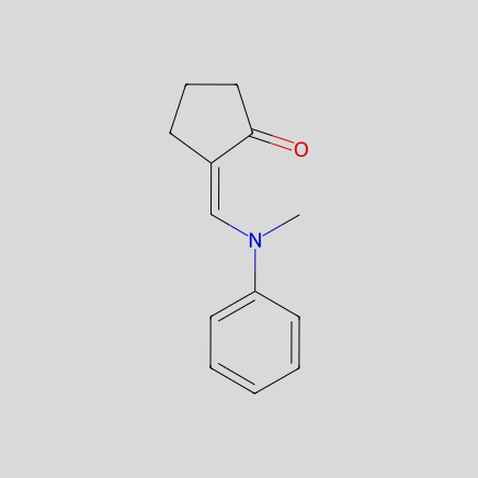 CN(C=C1CCCC1=O)c1ccccc1